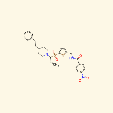 C=CC(N1CCC(CCc2ccccc2)CC1)S(=O)(=O)c1ccc(CNC(=O)c2ccc([N+](=O)[O-])cc2)s1